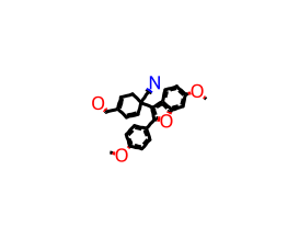 COc1ccc(-c2oc3cc(OC)ccc3c2C2(C#N)C=CC(C=O)=CC2)cc1